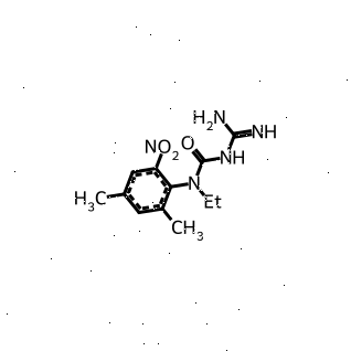 CCN(C(=O)NC(=N)N)c1c(C)cc(C)cc1[N+](=O)[O-]